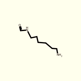 NCCCCCCNC=O